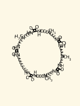 CN1CCCNc2c(c(=O)c2=O)NCCCCCCCNc2c(c(=O)c2=O)NCCCN(C)CCCNc2c(c(=O)c2=O)NCCCN(C)CCCNc2c(c(=O)c2=O)NCCCN(C)CCCNc2c(c(=O)c2=O)NCCC1